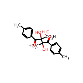 Cc1ccc(C(=O)C(O)(C(=O)O)C(O)(C(=O)O)C(=O)c2ccc(C)cc2)cc1.O